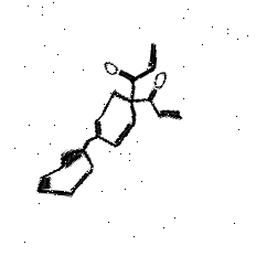 C=CC(=O)C1(C(=O)C=C)C=CC(c2ccccc2)=CC1